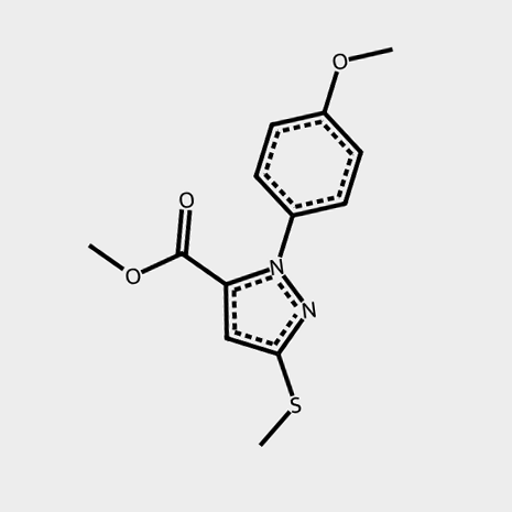 COC(=O)c1cc(SC)nn1-c1ccc(OC)cc1